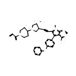 C=CC(=O)N1CCC(N2CCC(C#Cc3c(-c4ccc(Oc5ccccc5)cc4)c4c(N)ncnc4n3C)C2)CC1.O=CO